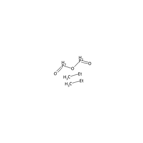 CCC.CCC.O=[PH2]O[PH2]=O